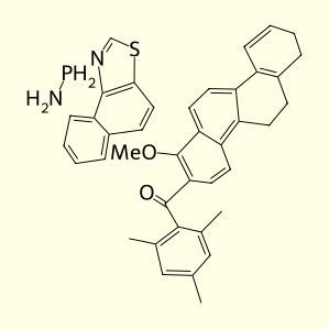 COc1c(C(=O)c2c(C)cc(C)cc2C)ccc2c3c(ccc12)C1=C(CCC=C1)CC3.NP.c1ccc2c(c1)ccc1scnc12